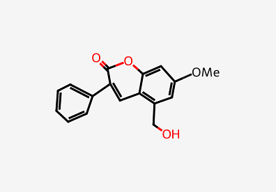 COc1cc(CO)c2cc(-c3ccccc3)c(=O)oc2c1